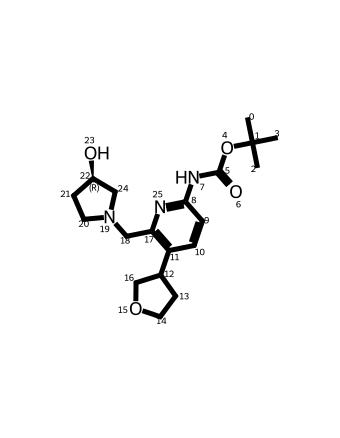 CC(C)(C)OC(=O)Nc1ccc(C2CCOC2)c(CN2CC[C@@H](O)C2)n1